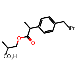 CC(C)Cc1ccc(C(C)C(=O)OC[C@H](C)C(=O)O)cc1